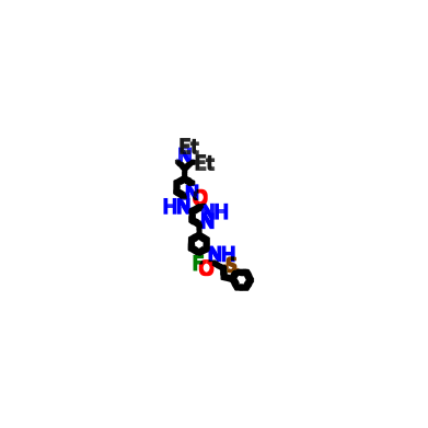 CCC1C(c2ccc(Nc3cc(-c4ccc(F)c(NC(=O)c5cc6ccccc6s5)c4)n[nH]c3=O)nc2)CN1CC